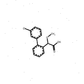 COC(C(=O)O)c1ccccc1-c1cccc(Cl)c1